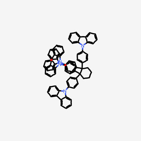 c1ccc2c(c1)c1ccccc1n2-c1ccc(C2(c3ccc(-n4c5ccccc5c5ccccc54)cc3)CCCCC2(c2ccc(-n3c4ccccc4c4ccccc43)cc2)c2ccc(-n3c4ccccc4c4ccccc43)cc2)cc1